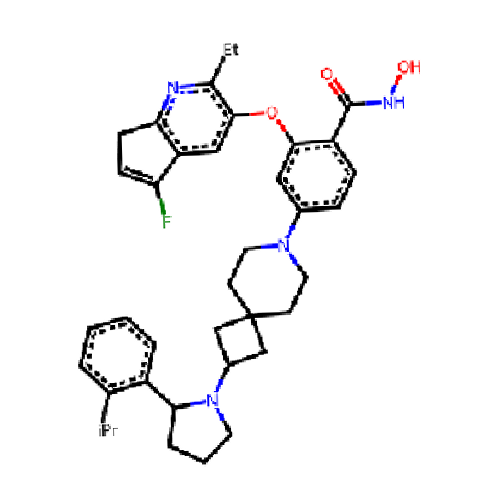 CCc1nc2c(cc1Oc1cc(N3CCC4(CC3)CC(N3CCCC3c3ccccc3C(C)C)C4)ccc1C(=O)NO)C(F)=CC2